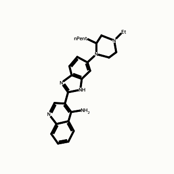 CCCCCC1CN(CC)CCN1c1ccc2nc(-c3cnc4ccccc4c3N)[nH]c2c1